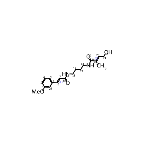 COc1cccc(/C=C/C(=O)NCCCCNC(=O)/C(C)=C/CO)c1